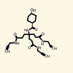 C#CCNC(=O)CCC(CCC(=O)NCC#C)(CCC(=O)NCC#C)NC(=O)[C@H]1CC[C@H](O)CC1